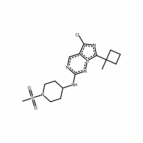 CC1(c2nc(Cl)c3cnc(NC4CCN(S(C)(=O)=O)CC4)nn23)CCC1